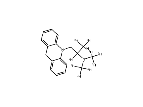 [2H]C([2H])([2H])N(C([2H])([2H])[2H])C([2H])(CN1c2ccccc2Sc2ccccc21)C([2H])([2H])[2H]